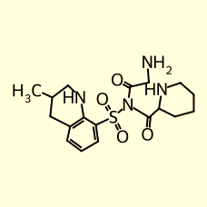 CC1CNc2c(cccc2S(=O)(=O)N(C(=O)CN)C(=O)C2CCCCN2)C1